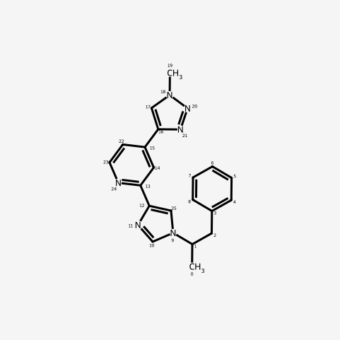 CC(Cc1ccccc1)n1cnc(-c2cc(-c3cn(C)nn3)ccn2)c1